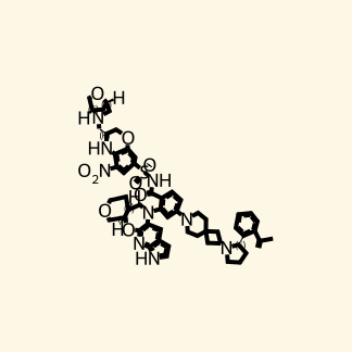 C=C(C)c1ccccc1[C@@H]1CCCN1C1CC2(CCN(c3ccc(C(=O)NS(=O)(=O)c4cc5c(c([N+](=O)[O-])c4)N[C@H](CN4C[C@@H]6C[C@H]4CO6)CO5)c(N4C[C@@H]5CCOC[C@@H]5Oc5nc6[nH]ccc6cc54)c3)CC2)C1